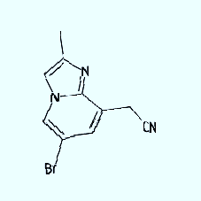 Cc1cn2cc(Br)cc(CC#N)c2n1